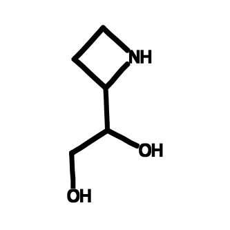 OCC(O)C1CCN1